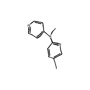 [CH2]c1ccc(N(C)c2ccncc2)nc1